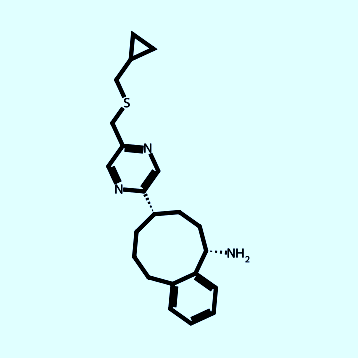 N[C@H]1CC[C@@H](c2cnc(CSCC3CC3)cn2)CCCc2ccccc21